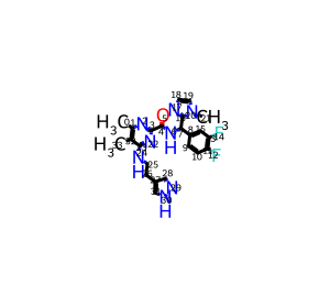 Cc1nc(C(=O)NC(c2ccc(F)c(F)c2)c2nccn2C)nc(NCCc2cn[nH]c2)c1C